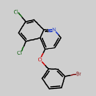 Clc1cc(Cl)c2c(Oc3cccc(Br)c3)ccnc2c1